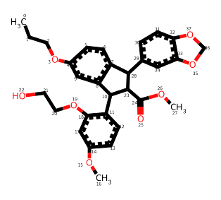 CCCOc1ccc2c(c1)C(c1ccc(OC)cc1OCCO)C(C(=O)OC)C2c1ccc2c(c1)OCO2